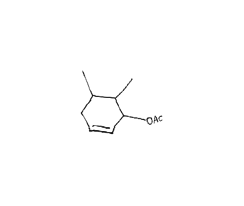 CC(=O)OC1C=CCC(C)C1C